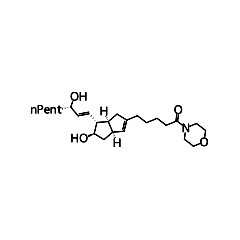 CCCCC[C@H](O)/C=C/[C@@H]1[C@H]2CC(CCCCC(=O)N3CCOCC3)=C[C@H]2C[C@H]1O